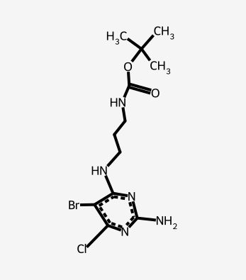 CC(C)(C)OC(=O)NCCCNc1nc(N)nc(Cl)c1Br